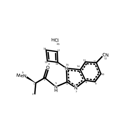 CN[C@H](C)C(=O)Nc1nc2ccc(C#N)cc2n1C1=CC=C1.Cl